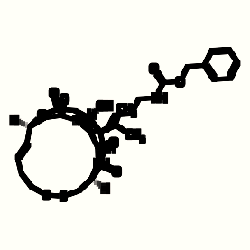 CC(C)[C@H]1NC(=O)[C@H]2CSSCC/C=C/[C@H](CC(=O)N[C@H](CCCCNC(=O)OCc3ccccc3)C(=O)N2)OC(=O)C[C@@H]1O